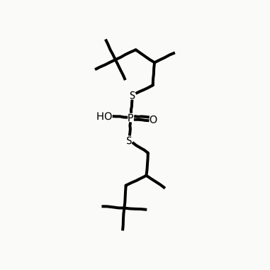 CC(CSP(=O)(O)SCC(C)CC(C)(C)C)CC(C)(C)C